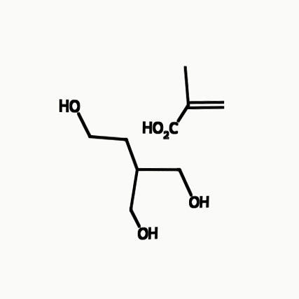 C=C(C)C(=O)O.OCCC(CO)CO